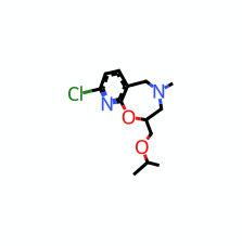 CC(C)OCC1CN(C)Cc2ccc(Cl)nc2O1